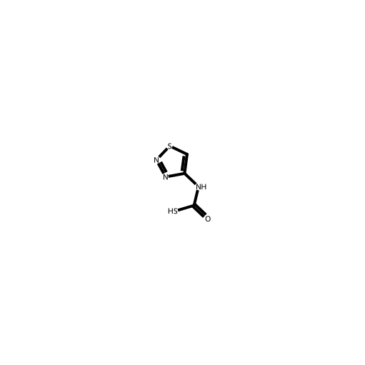 O=C(S)Nc1csnn1